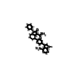 Cn1cc(-c2ccc(C3CCCn4c3c(C(N)=O)c(=O)n4-c3ccccc3)nc2)c2c(N)ncnc21